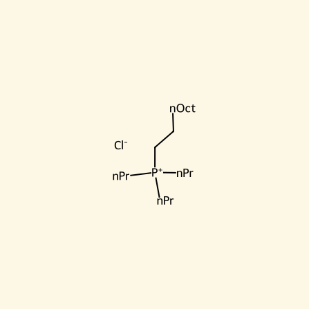 CCCCCCCCCC[P+](CCC)(CCC)CCC.[Cl-]